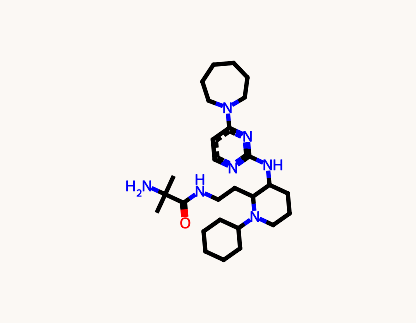 CC(C)(N)C(=O)NCCC1C(Nc2nccc(N3CCCCCC3)n2)CCCN1C1CCCCC1